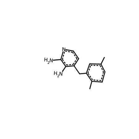 Cc1ccc(C)c(Cc2ccnc(N)c2N)c1